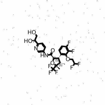 C[C@H]1[C@@H](c2ccc(F)c(F)c2OCC(F)F)[C@H](C(=O)Nc2ccc([C@@H](O)CO)nc2)O[C@@]1(C)C(F)(F)F